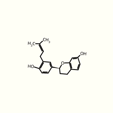 CC(C)=CCc1cc([C@@H]2CCc3ccc(O)cc3O2)ccc1O